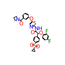 O=C(Nc1ncc(Oc2cccc(C(=O)N3CCC3)c2)s1)C(Oc1ccc(F)cc1F)c1ccc(S(=O)(=O)C2CC2)cc1